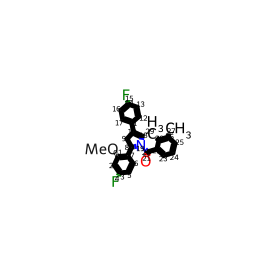 COc1cc(F)ccc1C1CC(c2ccc(F)cc2)=CN1C(=O)c1cccc(C)c1C